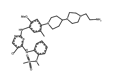 COc1cc(N2CCC(N3CCN(CCN)CC3)CC2)c(C)cc1Nc1ncc(Cl)c(Nc2ccccc2N(C)S(C)(=O)=O)n1